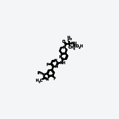 Cc1nc2c(F)cc(-c3nc(Nc4ccc5c(n4)CCN(C(=O)C(C)(C)NC(=O)O)C5)ncc3F)cc2n1C(C)C